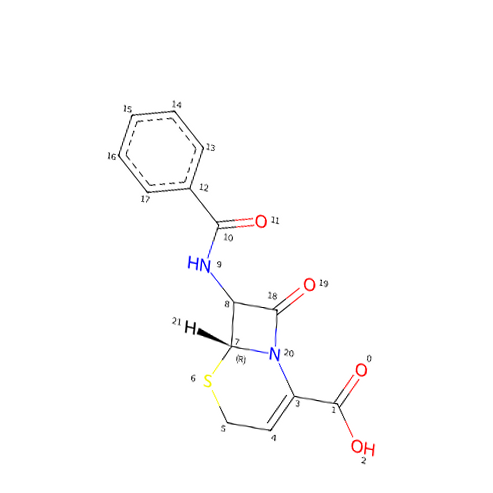 O=C(O)C1=CCS[C@@H]2C(NC(=O)c3ccccc3)C(=O)N12